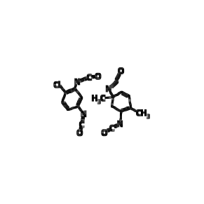 CC1=C(N=C=O)CC(C)(N=C=O)C=C1.O=C=Nc1ccc(Cl)c(N=C=O)c1